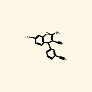 N#CC1=C(N)Oc2cc(N)ccc2C1c1cccc(C#N)c1